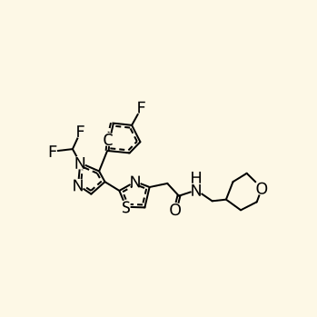 O=C(Cc1csc(-c2cnn(C(F)F)c2-c2ccc(F)cc2)n1)NCC1CCOCC1